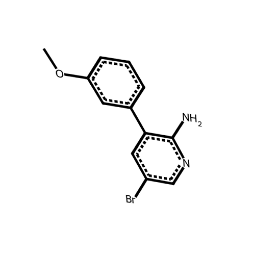 COc1cccc(-c2cc(Br)cnc2N)c1